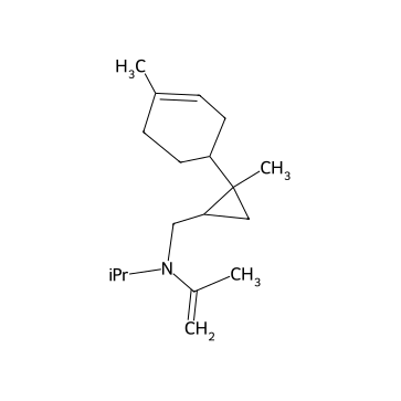 C=C(C)N(CC1CC1(C)C1CC=C(C)CC1)C(C)C